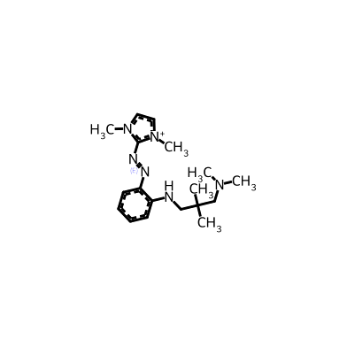 CN(C)CC(C)(C)CNc1ccccc1/N=N/c1n(C)cc[n+]1C